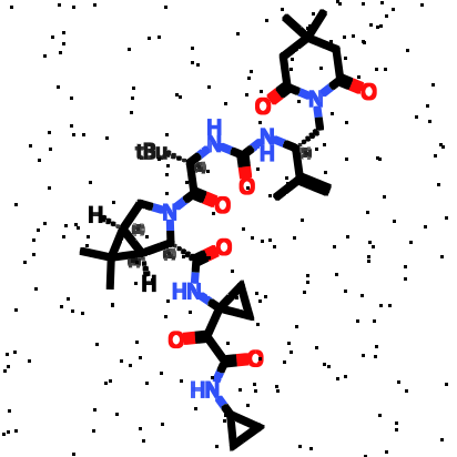 C=C(C)[C@@H](CN1C(=O)CC(C)(C)CC1=O)NC(=O)N[C@H](C(=O)N1C[C@H]2[C@@H]([C@H]1C(=O)NC1(C(=O)C(=O)NC3CC3)CC1)C2(C)C)C(C)(C)C